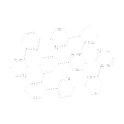 c1cncc(-c2ccccc2-c2cc(-c3cc(-c4ccccc4-c4cccnc4)cc(-c4ccccc4-c4cccnc4)c3)cc(-c3ccccc3-c3cccnc3)c2)c1